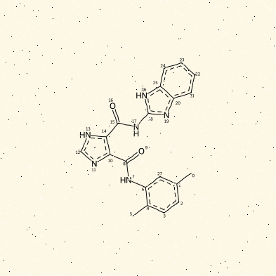 Cc1ccc(C)c(NC(=O)c2nc[nH]c2C(=O)Nc2nc3ccccc3[nH]2)c1